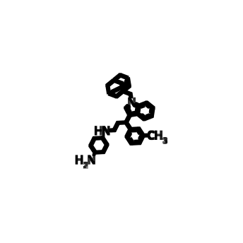 Cc1cccc(C(CCN[C@H]2CC[C@H](N)CC2)c2cn(CC34CC5CC(CC(C5)C3)C4)c3ccccc23)c1